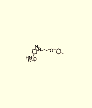 Cc1ccc(COCCCCn2cnc3ccc(C(=O)NO)cc32)cc1